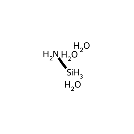 N[SiH3].O.O.O